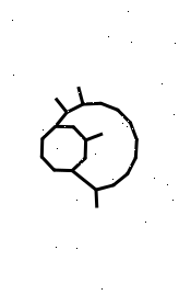 CC1CC2CCCC(C1)C(C)C(C)CCCCCCCC2C